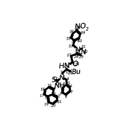 CCC(C)C(CN(Cc1ccccc1)C(=S)Nc1cccc2ccccc12)NC(=O)Cc1cncn1Cc1ccc([N+](=O)[O-])cc1